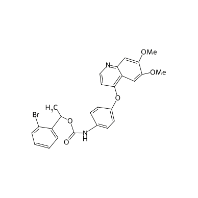 COc1cc2nccc(Oc3ccc(NC(=O)OC(C)c4ccccc4Br)cc3)c2cc1OC